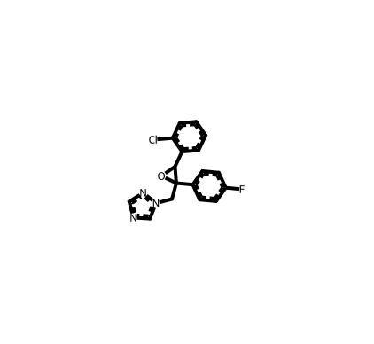 Fc1ccc(C2(Cn3cncn3)OC2c2ccccc2Cl)cc1